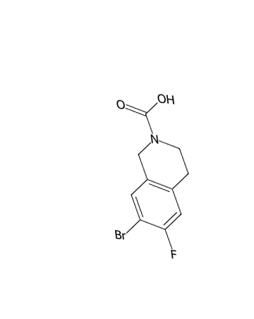 O=C(O)N1CCc2cc(F)c(Br)cc2C1